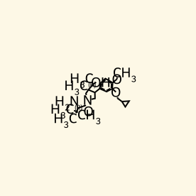 COc1ccc(C2CN(C(=O)[C@H](N)C(C)(C)C)CC2(C)[C@@H](C)O)cc1OCC1CC1